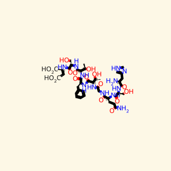 C[C@@H](O)[C@H](NC(=O)CNC(=O)[C@H](CCC(N)=O)NC(=O)[C@H](CO)NC(=O)[C@@H](N)Cc1c[nH]cn1)C(=O)N[C@@H](Cc1ccccc1)C(=O)N[C@H](C(=O)N[C@@H](CO)C(=O)N[C@@H](CC(=O)O)C(=O)O)[C@@H](C)O